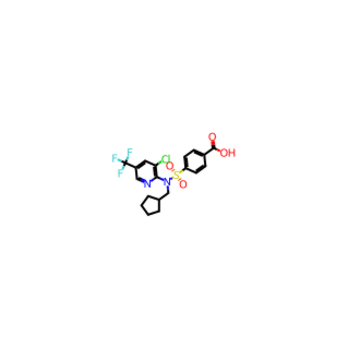 O=C(O)c1ccc(S(=O)(=O)N(CC2CCCC2)c2ncc(C(F)(F)F)cc2Cl)cc1